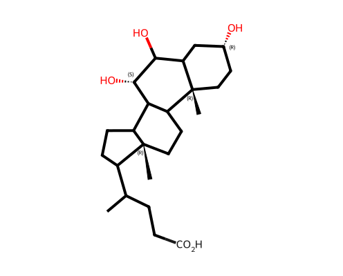 CC(CCC(=O)O)C1CCC2C3C(CC[C@]12C)[C@@]1(C)CC[C@@H](O)CC1C(O)[C@H]3O